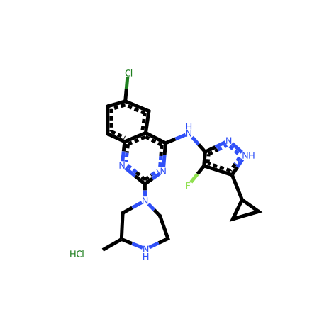 CC1CN(c2nc(Nc3n[nH]c(C4CC4)c3F)c3cc(Cl)ccc3n2)CCN1.Cl